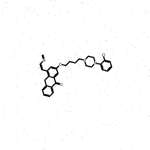 C=N/C=C\c1cc(OCCCCN2CCN(c3ccccc3Cl)CC2)cc2c1Cc1ccccc1C2=O